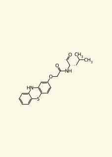 CC(C)C[C@@H]([C]=O)NC(=O)COc1ccc2c(c1)Nc1ccccc1S2